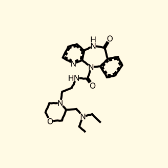 CCN(CC)CC1COCCN1CCNC(=O)N1c2ccccc2C(=O)Nc2cccnc21